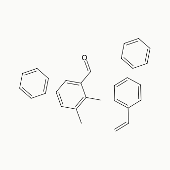 C=Cc1ccccc1.Cc1cccc(C=O)c1C.c1ccccc1.c1ccccc1